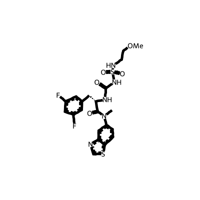 COCCNS(=O)(=O)NC(=O)N[C@@H](Cc1cc(F)cc(F)c1)C(=O)N(C)c1ccc2scnc2c1